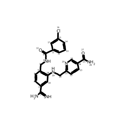 N=C(N)c1ccc(CNC(=O)c2cccc(Cl)c2)c(NCc2ccc(C(N)=O)cn2)c1